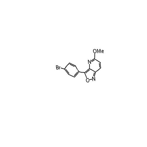 COc1ccc2noc(-c3ccc(Br)cc3)c2n1